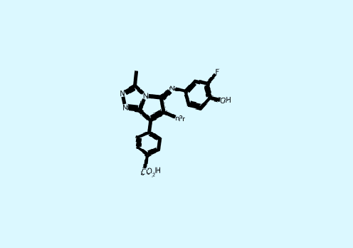 CCCC1=C(c2ccc(C(=O)O)cc2)c2nnc(C)n2C1=Nc1ccc(O)c(F)c1